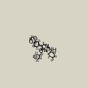 C[C@H]1CC[C@H](Nc2ncc(-c3ccc4c(c3)OCCO4)c(OC[C@H]3CCOC3)n2)CC1